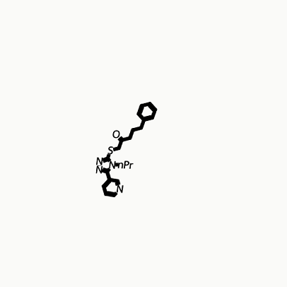 CCCn1c(SCC(=O)CCCc2ccccc2)nnc1-c1cccnc1